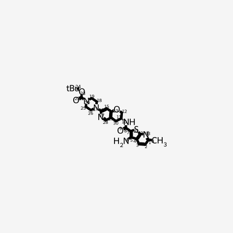 Cc1ccc2c(N)c(C(=O)N[C@H]3COc4cc(N5CCN(C(=O)OC(C)(C)C)CC5)ncc4C3)sc2n1